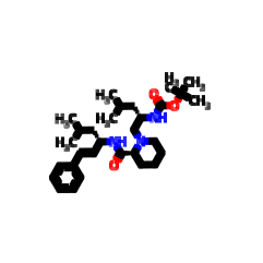 CC(C)C[C@@H](CN1CCCC[C@H]1C(=O)N[C@H](/C=C/c1ccccc1)CC(C)C)NC(=O)OC(C)(C)C